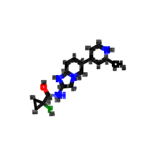 Cc1cc(-c2ccc3nc(NC(=O)C4(F)CC4)cn3c2)ccn1